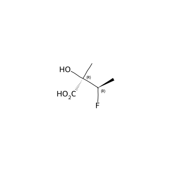 C[C@@H](F)[C@](C)(O)C(=O)O